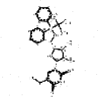 CCc1cn([C@@H]2O[C@H](CO[Si](c3ccccc3)(c3ccccc3)C(C)(C)C)[C@@H](O)[C@H]2O)c(=O)[nH]c1=O